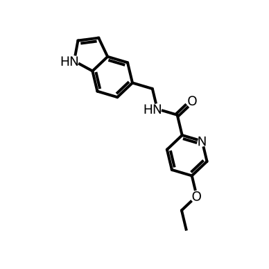 CCOc1ccc(C(=O)NCc2ccc3[nH]ccc3c2)nc1